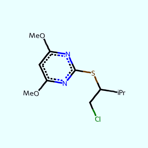 COc1cc(OC)nc(SC(CCl)C(C)C)n1